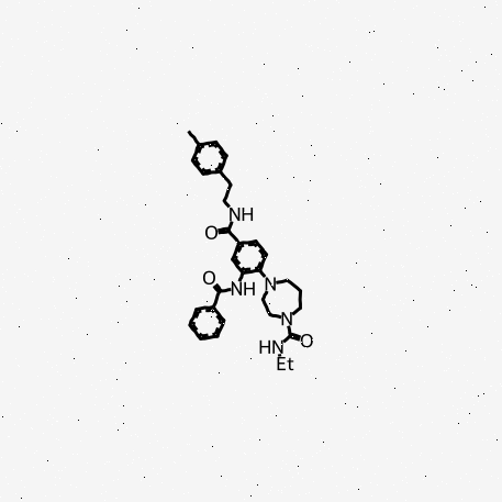 CCNC(=O)N1CCCN(c2ccc(C(=O)NCCc3ccc(C)cc3)cc2NC(=O)c2ccccc2)CC1